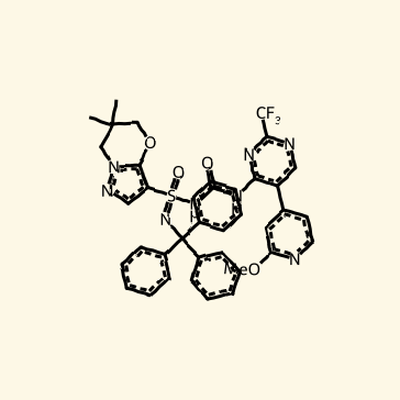 COc1cc(-c2cnc(C(F)(F)F)nc2NC(=O)NS(=O)(=NC(c2ccccc2)(c2ccccc2)c2ccccc2)c2cnn3c2OCC(C)(C)C3)ccn1